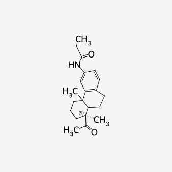 CCC(=O)Nc1ccc2c(c1)C1(C)CCC[C@](C)(C(C)=O)C1CC2